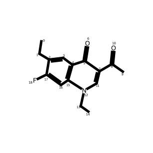 CCc1cc2c(=O)c(C(C)=O)cn(CC)c2cc1F